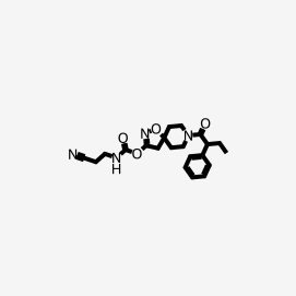 CCC(C(=O)N1CCC2(CC1)CC(OC(=O)NCCC#N)=NO2)c1ccccc1